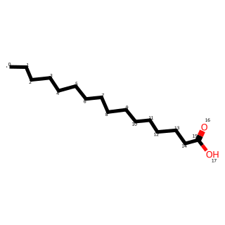 [CH2]CCCCCCCCCCCCC[CH]C(=O)O